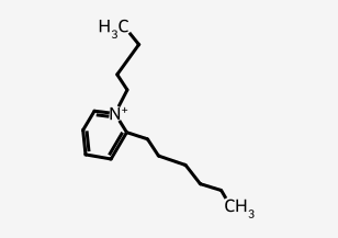 CCCCCCc1cccc[n+]1CCCC